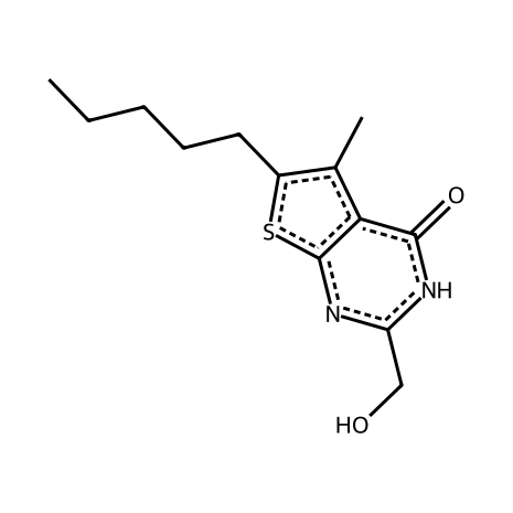 CCCCCc1sc2nc(CO)[nH]c(=O)c2c1C